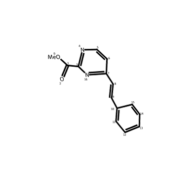 COC(=O)c1nccc(C=Cc2ccccc2)n1